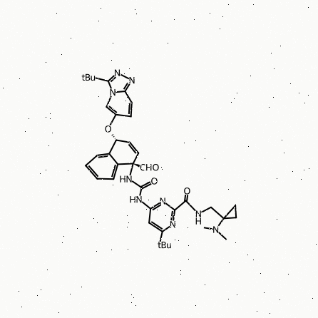 CN(C)C1(CNC(=O)c2nc(NC(=O)N[C@@]3(C=O)C=C[C@@H](Oc4ccc5nnc(C(C)(C)C)n5c4)c4ccccc43)cc(C(C)(C)C)n2)CC1